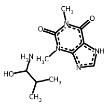 CC(C)C(N)O.Cn1c(=O)c2[nH]cnc2n(C)c1=O